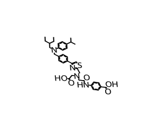 CCC(CC)CN(Cc1ccc(-c2csc(CN(CC(=O)O)CC(=O)Nc3ccc(C(=O)O)cc3)n2)cc1)c1ccc(C(C)C)cc1